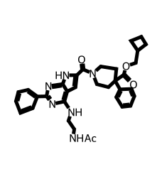 CC(=O)NCCNc1nc(-c2ccccc2)nc2[nH]c(C(=O)N3CCC(C(=O)OCC4CCC4)(c4ccccc4)CC3)cc12